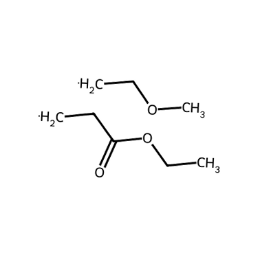 [CH2]CC(=O)OCC.[CH2]COC